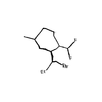 CCC(Br)C1CC(C)C[CH]C1C(F)F